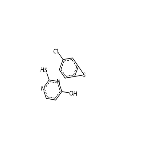 Clc1ccc2c(c1)S2.Oc1ccnc(S)n1